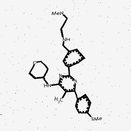 CNCCNCc1cccc(-c2nc(NC3CCOCC3)c(C)c(-c3ccc(SC)cc3)n2)c1